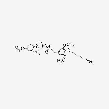 CCCCCCCOc1c(OC)cc(C=CC(=O)NN2CCN(c3ccc(C)cc3C)CC2)cc1OC